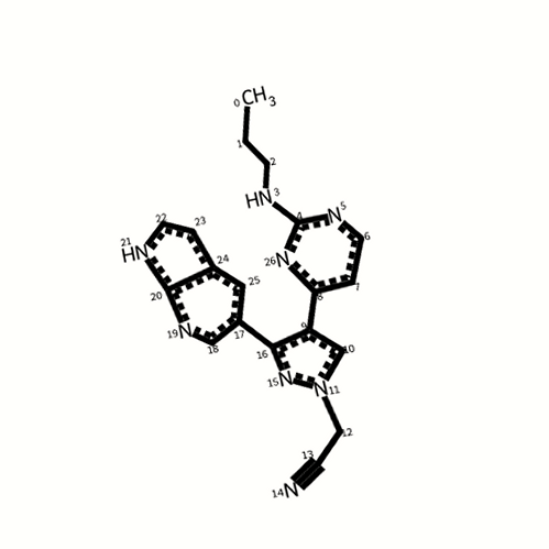 CCCNc1nccc(-c2cn(CC#N)nc2-c2cnc3[nH]ccc3c2)n1